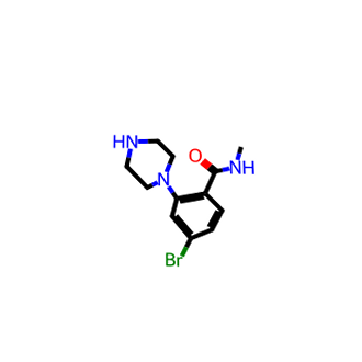 CNC(=O)c1ccc(Br)cc1N1CCNCC1